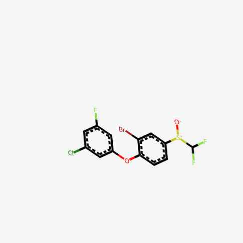 [O-][S+](c1ccc(Oc2cc(F)cc(Cl)c2)c(Br)c1)C(F)F